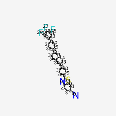 N#Cc1ccc2nc(-c3ccc(-c4ccc5cc(-c6ccc(-c7cc(F)c(F)c(F)c7)cc6)ccc5c4)cc3)sc2c1